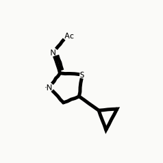 CC(=O)N=C1[N]CC(C2CC2)S1